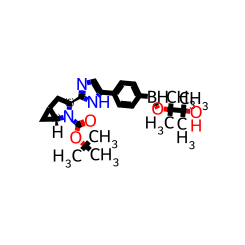 CC(C)(C)OC(=O)N1[C@@H]2CC2C[C@H]1c1ncc(-c2ccc(BOC(C)(C)C(C)(C)O)cc2)[nH]1